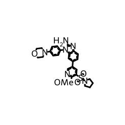 COc1ncc(-c2ccc3nc(N)n(-c4ccc(N5CCOCC5)cc4)c3c2)cc1S(=O)(=O)N1CCCC1